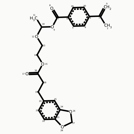 C=C(C)c1ccc(C(=O)OC(C)OCCOC(=O)CCc2ccc3c(c2)OCO3)cc1